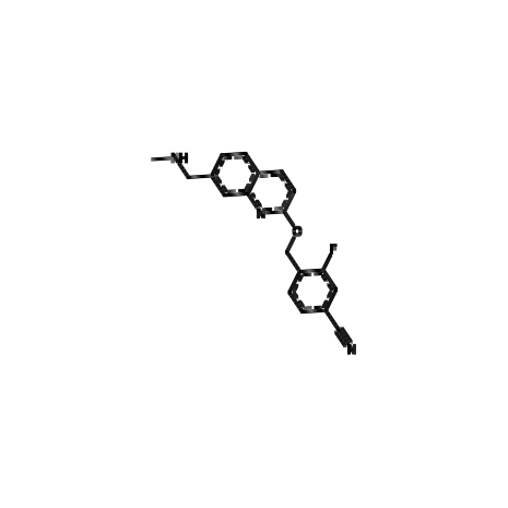 CNCc1ccc2ccc(OCc3ccc(C#N)cc3F)nc2c1